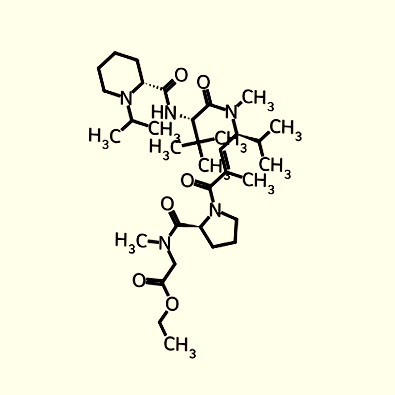 CCOC(=O)CN(C)C(=O)[C@@H]1CCCN1C(=O)/C(C)=C/[C@H](C(C)C)N(C)C(=O)[C@@H](NC(=O)[C@H]1CCCCN1C(C)C)C(C)(C)C